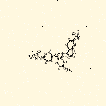 CC(=O)Nc1ccc(Sc2ccc(C)cc2Nc2ccnc3nc(C(F)(F)F)ccc23)cc1